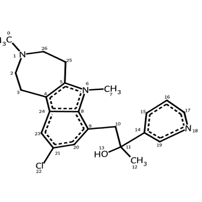 CN1CCc2c(n(C)c3c(CC(C)(O)c4cccnc4)cc(Cl)cc23)CC1